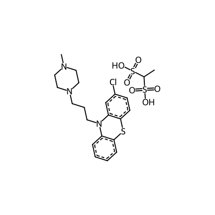 CC(S(=O)(=O)O)S(=O)(=O)O.CN1CCN(CCCN2c3ccccc3Sc3ccc(Cl)cc32)CC1